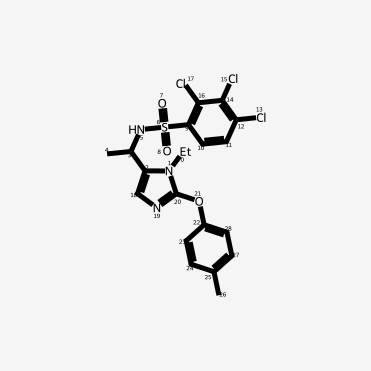 CCn1c(C(C)NS(=O)(=O)c2ccc(Cl)c(Cl)c2Cl)cnc1Oc1ccc(C)cc1